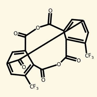 O=C1c2cc3c(c(C(F)(F)F)c2)C(=O)OC(=O)c2c(cc1cc2C(F)(F)F)C(=O)OC3=O